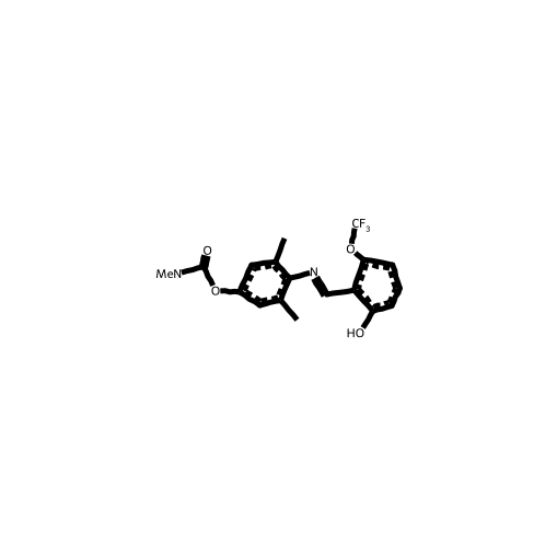 CNC(=O)Oc1cc(C)c(N=Cc2c(O)cccc2OC(F)(F)F)c(C)c1